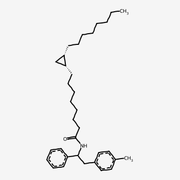 CCCCCCCC[C@H]1C[C@H]1CCCCCCCC(=O)NC(Cc1ccc(C)cc1)c1ccccc1